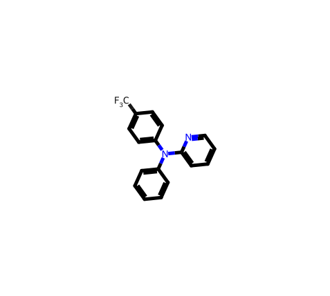 FC(F)(F)c1ccc(N(c2ccccc2)c2ccccn2)cc1